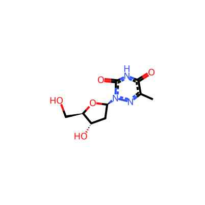 Cc1nn([C@H]2C[C@H](O)[C@@H](CO)O2)c(=O)[nH]c1=O